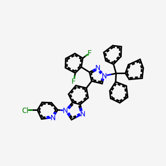 Fc1cccc(F)c1-c1nn(C(c2ccccc2)(c2ccccc2)c2ccccc2)cc1-c1ccc2c(c1)ncn2-c1ccc(Cl)cn1